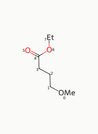 [CH2]OCCCC(=O)OCC